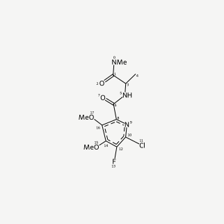 CNC(=O)C(C)NC(=O)c1nc(Cl)c(F)c(OC)c1OC